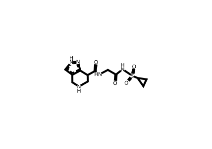 O=C(CNC(=O)C1CNCc2c[nH]nc21)NS(=O)(=O)C1CC1